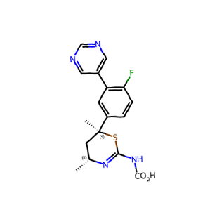 C[C@@H]1C[C@@](C)(c2ccc(F)c(-c3cncnc3)c2)SC(NC(=O)O)=N1